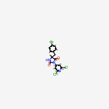 CC1(Cc2ccc(Br)cc2)NC(=O)N(c2cc(Cl)nc(Cl)c2)C1=O